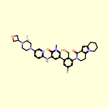 C[C@@H]1CN(c2ccc(Nc3cc(-c4cc(F)cc(N5CCc6c(cc7n6CCCC7)C5=O)c4CO)cn(C)c3=O)nc2)CCN1C1COC1